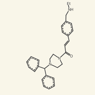 CCNCc1ccc(/C=C/C(=O)N2CCN(C(c3ccccc3)c3ccccc3)CC2)cc1